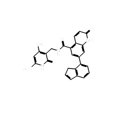 Cc1cc(C)c(CNC(=O)c2cc(-c3cccc4c3CC=C4)cc3[nH]c(=O)ccc23)c(=O)[nH]1